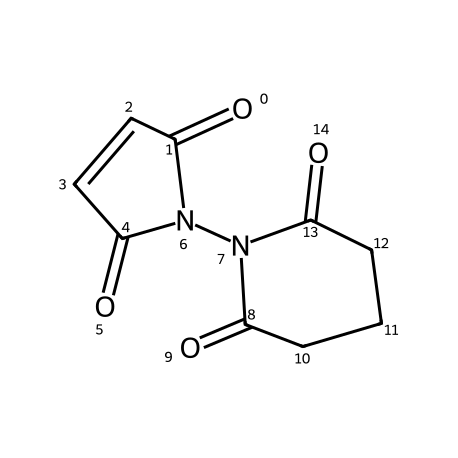 O=C1C=CC(=O)N1N1C(=O)CCCC1=O